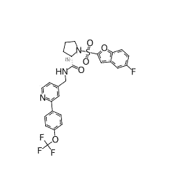 O=C(NCc1ccnc(-c2ccc(OC(F)(F)F)cc2)c1)[C@@H]1CCCN1S(=O)(=O)c1cc2cc(F)ccc2o1